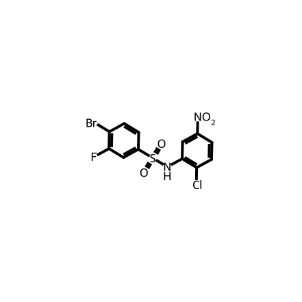 O=[N+]([O-])c1ccc(Cl)c(NS(=O)(=O)c2ccc(Br)c(F)c2)c1